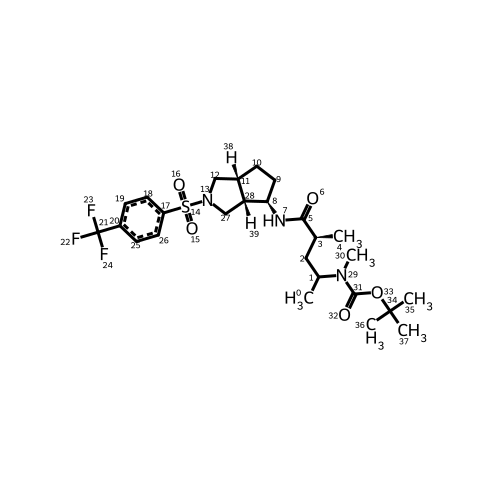 CC(C[C@H](C)C(=O)N[C@@H]1CC[C@H]2CN(S(=O)(=O)c3ccc(C(F)(F)F)cc3)C[C@H]21)N(C)C(=O)OC(C)(C)C